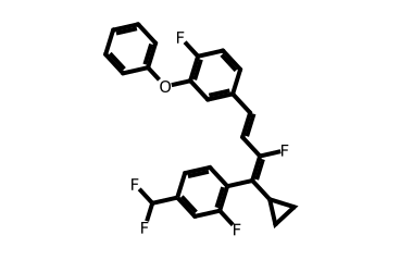 FC(C=Cc1ccc(F)c(Oc2ccccc2)c1)=C(c1ccc(C(F)F)cc1F)C1CC1